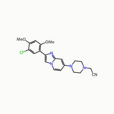 COc1cc(OC)c(-c2cn3ccc(N4CCN(CC#N)CC4)cc3n2)cc1Cl